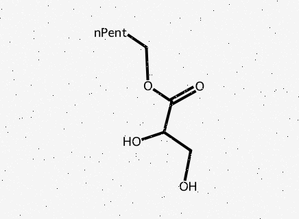 CCCCCCOC(=O)C(O)CO